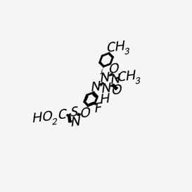 Cn1c(=O)[nH]/c(=N\c2ccc(Oc3ncc(C(=O)O)s3)c(F)c2)n(C[C@H]2CC[C@H](C)CC2)c1=O